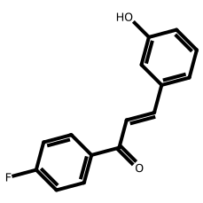 O=C(/C=C/c1cccc(O)c1)c1ccc(F)cc1